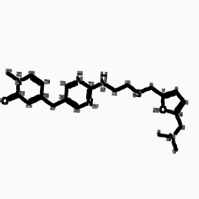 CN(C)Cc1ccc(CSCCNc2ncc(Cc3ccn(C)c(=O)c3)cn2)o1